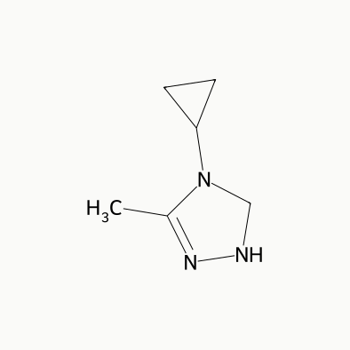 CC1=NNCN1C1CC1